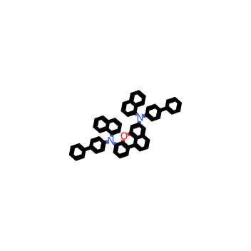 c1ccc(-c2ccc(N(c3cc4c5c(cccc5c3)-c3cccc(N(c5ccc(-c6ccccc6)cc5)c5cccc6ccccc56)c3O4)c3cccc4ccccc34)cc2)cc1